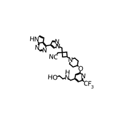 N#CCC1(Cn2cc(-c3ncnc4[nH]ccc34)cn2)CC(N2CCC(Oc3cc(CNCCO)cc(C(F)(F)F)n3)CC2)C1